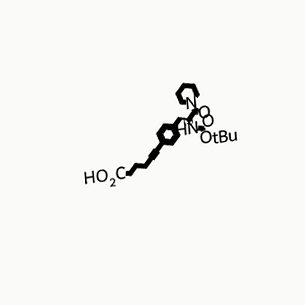 CC(C)(C)OC(=O)N[C@@H](Cc1ccc(C#CCCCC(=O)O)cc1)C(=O)N1CCCCC1